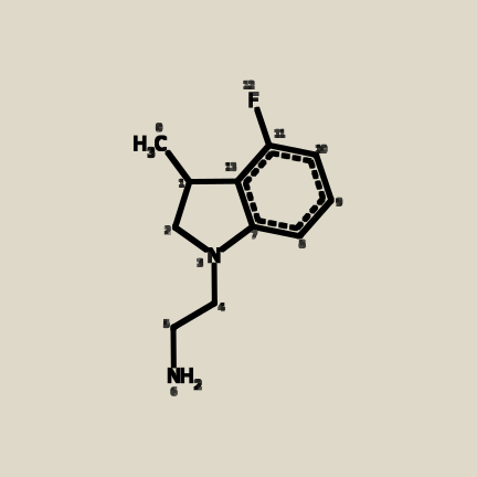 CC1CN(CCN)c2cccc(F)c21